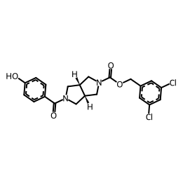 O=C(OCc1cc(Cl)cc(Cl)c1)N1C[C@@H]2CN(C(=O)c3ccc(O)cc3)C[C@@H]2C1